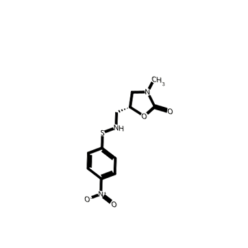 CN1C[C@@H](CNSc2ccc([N+](=O)[O-])cc2)OC1=O